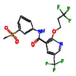 CS(=O)(=O)c1cccc(NC(=O)c2cc(C(F)(F)F)cnc2OCCC(F)(F)F)c1